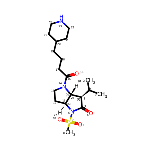 CC(C)[C@H]1C(=O)N(S(C)(=O)=O)[C@H]2CCN(C(=O)CCCC3CCNCC3)[C@H]12